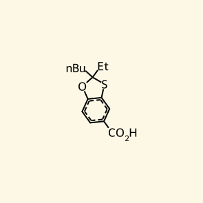 CCCCC1(CC)Oc2ccc(C(=O)O)cc2S1